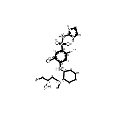 CN(C[C@H](O)CF)[C@H]1CCCC[C@@H]1Nc1cc(F)c(S(=O)(=O)Nc2nccs2)cc1Cl